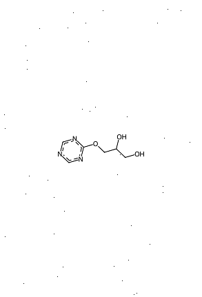 OCC(O)COc1ncncn1